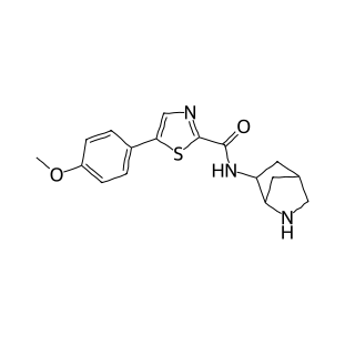 COc1ccc(-c2cnc(C(=O)NC3CC4CNC3C4)s2)cc1